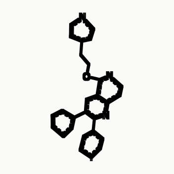 [c]1ccc(-c2nc3ccnc(OCCc4ccncc4)c3cc2-c2ccccc2)cc1